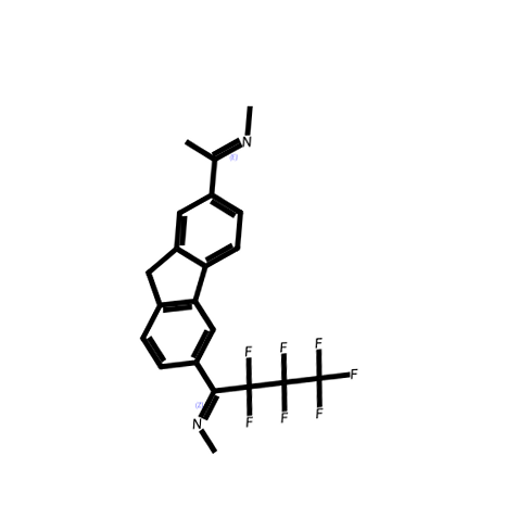 C/N=C(/c1ccc2c(c1)-c1ccc(/C(C)=N/C)cc1C2)C(F)(F)C(F)(F)C(F)(F)F